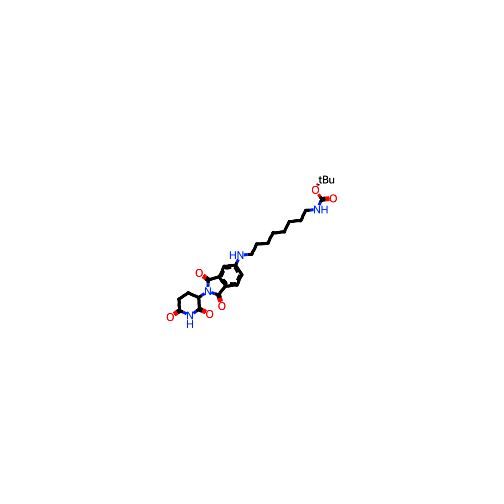 CC(C)(C)OC(=O)NCCCCCCCCNc1ccc2c(c1)C(=O)N(C1CCC(=O)NC1=O)C2=O